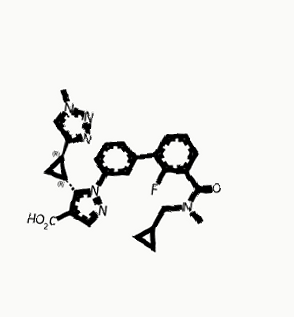 CN(CC1CC1)C(=O)c1cccc(-c2cccc(-n3ncc(C(=O)O)c3[C@@H]3C[C@H]3c3cn(C)nn3)c2)c1F